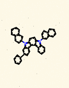 c1ccc(-c2ccc3c4c5c6ccccc6n(-c6ccc7ccccc7c6)c5ccc4n(-c4ccc5ccccc5c4)c3c2)cc1